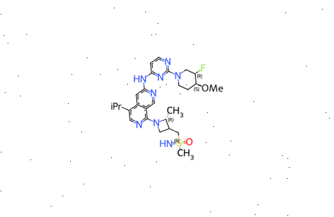 CO[C@H]1CCN(c2nccc(Nc3cc4c(C(C)C)cnc(N5CC(C[S@](C)(=N)=O)[C@H]5C)c4cn3)n2)C[C@H]1F